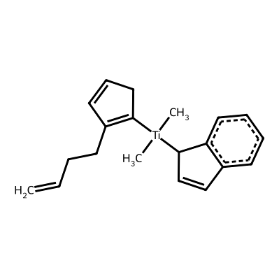 C=CCCC1=[C]([Ti]([CH3])([CH3])[CH]2C=Cc3ccccc32)CC=C1